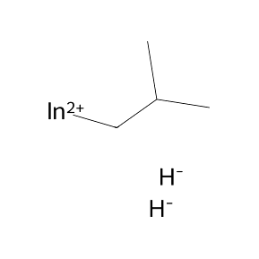 CC(C)[CH2][In+2].[H-].[H-]